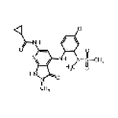 CN(c1cc(Cl)ccc1Nc1cc(NC(=O)C2CC2)nc2[nH]n(C)c(=O)c12)S(C)(=O)=O